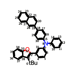 CC(C)(C)c1c(-c2cccc(N(c3ccccc3)c3ccc(-c4ccc5ccccc5c4)cc3)c2)oc2ccccc12